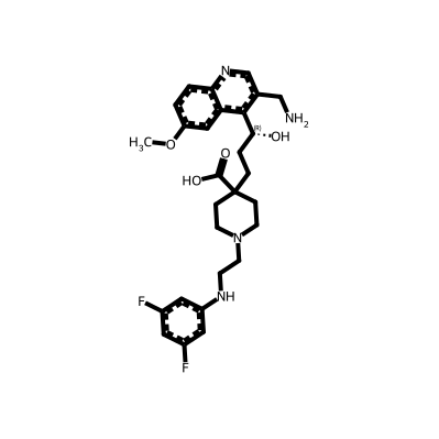 COc1ccc2ncc(CN)c([C@H](O)CCC3(C(=O)O)CCN(CCNc4cc(F)cc(F)c4)CC3)c2c1